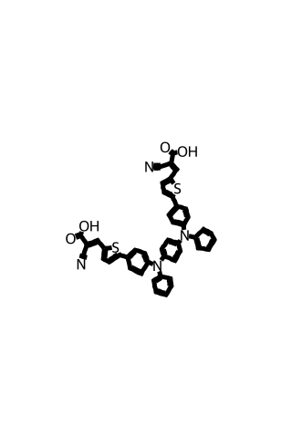 N#C/C(=C\c1ccc(-c2ccc(N(c3ccccc3)c3ccc(N(c4ccccc4)c4ccc(-c5ccc(/C=C(\C#N)C(=O)O)s5)cc4)cc3)cc2)s1)C(=O)O